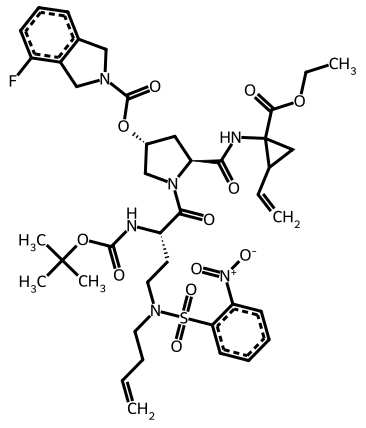 C=CCCN(CC[C@H](NC(=O)OC(C)(C)C)C(=O)N1C[C@H](OC(=O)N2Cc3cccc(F)c3C2)C[C@H]1C(=O)NC1(C(=O)OCC)CC1C=C)S(=O)(=O)c1ccccc1[N+](=O)[O-]